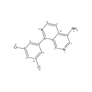 Nc1cncc2c(-c3cc(Cl)cc(Cl)c3)nccc12